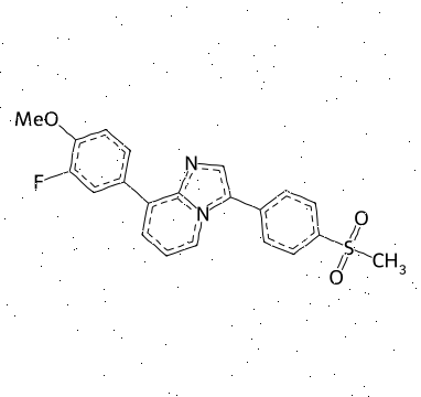 COc1ccc(-c2cccn3c(-c4ccc(S(C)(=O)=O)cc4)cnc23)cc1F